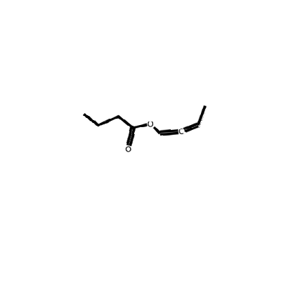 CC=C=COC(=O)CCC